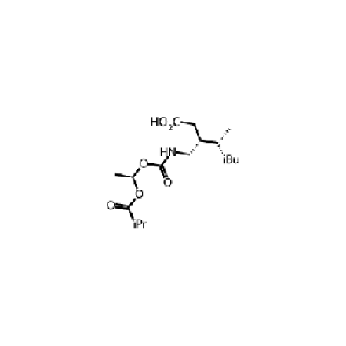 CC[C@@H](C)[C@@H](C)[C@H](CNC(=O)O[C@H](C)OC(=O)C(C)C)CC(=O)O